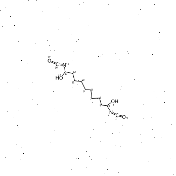 O=C=NC(O)CCCCCCCCC(O)N=C=O